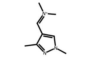 Cc1nn(C)cc1C=[N+](C)C